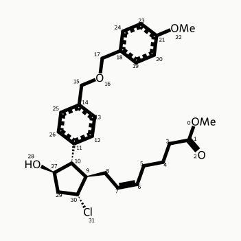 COC(=O)CCC/C=C\C[C@@H]1[C@@H](c2ccc(COCc3ccc(OC)cc3)cc2)[C@H](O)C[C@H]1Cl